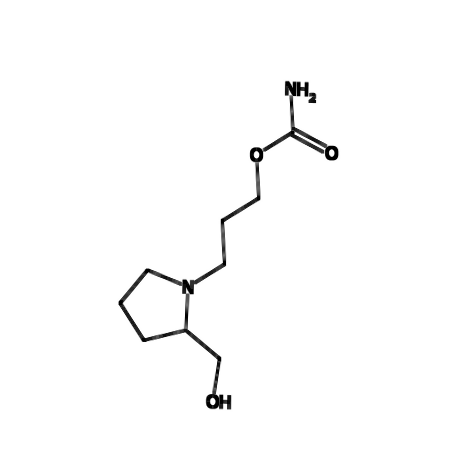 NC(=O)OCCCN1CCCC1CO